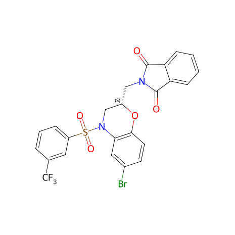 O=C1c2ccccc2C(=O)N1C[C@H]1CN(S(=O)(=O)c2cccc(C(F)(F)F)c2)c2cc(Br)ccc2O1